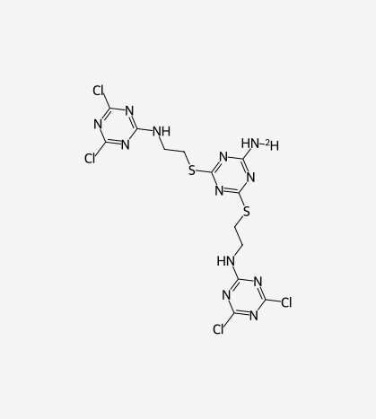 [2H]Nc1nc(SCCNc2nc(Cl)nc(Cl)n2)nc(SCCNc2nc(Cl)nc(Cl)n2)n1